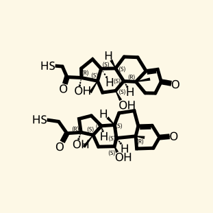 C[C@]12CCC(=O)C=C1CC[C@@H]1[C@@H]2[C@@H](O)C[C@@]2(C)[C@H]1CC[C@]2(O)C(=O)CS.C[C@]12CCC(=O)C=C1CC[C@@H]1[C@@H]2[C@@H](O)C[C@@]2(C)[C@H]1CC[C@]2(O)C(=O)CS